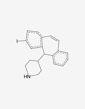 Ic1ccc2c(c1)C(C1CCNCC1)c1ccccc1C=C2